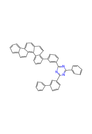 c1ccc(-c2cccc(-c3nc(-c4ccccc4)nc(-c4cccc(-c5cccc6c5ccc5ccc7c8ccccc8ccc7c56)c4)n3)c2)cc1